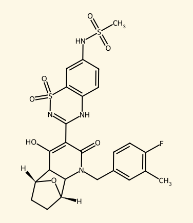 Cc1cc(CN2C(=O)C(C3=NS(=O)(=O)c4cc(NS(C)(=O)=O)ccc4N3)=C(O)C3C2[C@@H]2CC[C@H]3O2)ccc1F